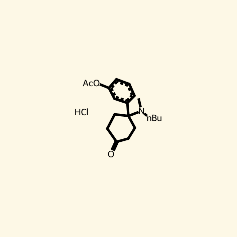 CCCCN(C)C1(c2cccc(OC(C)=O)c2)CCC(=O)CC1.Cl